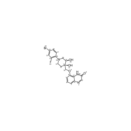 O=c1cnc2cccc(OC[C@]3(O)CCN(c4ccc(Br)cc4F)C[C@H]3O)c2[nH]1